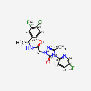 C[C@H](NC(=O)Cn1nc(C(F)(F)F)n(-c2ccc(F)cn2)c1=O)c1ccc(Cl)c(F)c1